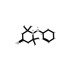 CC1(C)CC(=O)CC(C)(C)N1OC1C=CCCC1